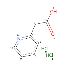 Cl.Cl.O=C(O)Cc1ccccn1